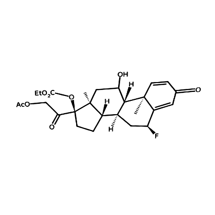 CCOC(=O)O[C@]1(C(=O)COC(C)=O)CC[C@H]2[C@@H]3C[C@H](F)C4=CC(=O)C=C[C@]4(C)[C@H]3C(O)C[C@@]21C